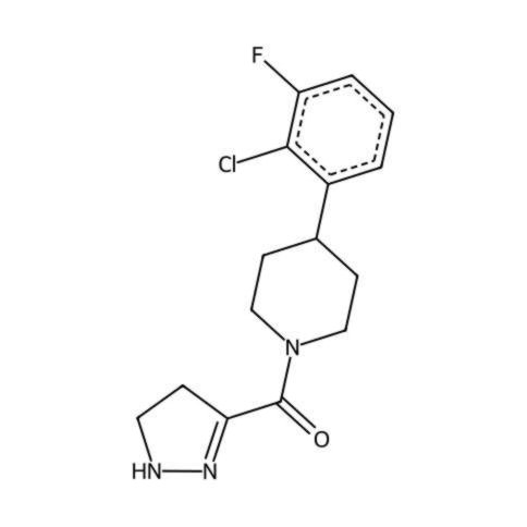 O=C(C1=NNCC1)N1CCC(c2cccc(F)c2Cl)CC1